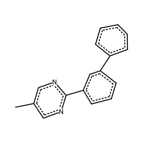 Cc1cnc(-c2cccc(-c3ccccc3)c2)nc1